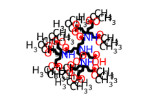 CC(C)(C)OC(=O)CCC(CCC(=O)OC(C)(C)C)(CCC(=O)OC(C)(C)C)NC(=O)CCC(CCC(=O)NC(CCC(=O)OC(C)(C)C)(CCC(=O)OC(C)(C)C)CCC(=O)OC(C)(C)C)(CCC(=O)NC(CCC(=O)OC(C)(C)C)(CCC(=O)OC(C)(C)C)CCC(=O)OC(C)(C)C)NC(=O)CCC(=O)O